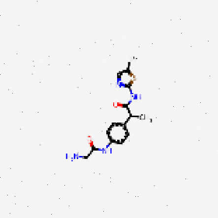 CC(C)c1cnc(NC(=O)C(C)c2ccc(NC(=O)CN)cc2)s1